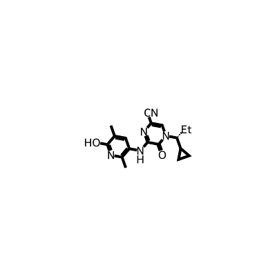 CC[C@H](C1CC1)n1cc(C#N)nc(Nc2cc(C)c(O)nc2C)c1=O